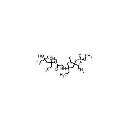 CCC(CC)(CC(C)(CC)NCC(=O)OC(C)(CC)CC(C)(C)O)CS(=O)(=O)OC